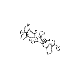 C=C(F)/C(F)=C(NC(=O)[C@H](Cc1cccc(C(=O)OC)c1)Nc1ccccc1)\C(F)=C(\F)CC(F)(F)F